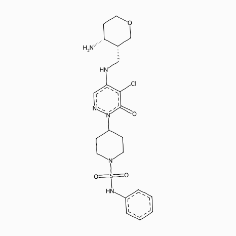 N[C@@H]1CCOC[C@@H]1CNc1cnn(C2CCN(S(=O)(=O)Nc3ccccc3)CC2)c(=O)c1Cl